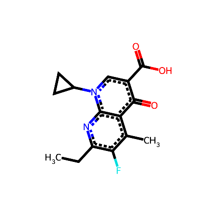 CCc1nc2c(c(C)c1F)c(=O)c(C(=O)O)cn2C1CC1